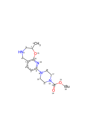 CC1CNCc2ccc(N3CCN(C(=O)OC(C)(C)C)CC3)nc2O1